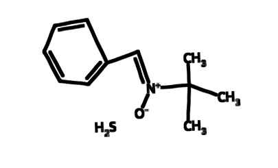 CC(C)(C)[N+]([O-])=Cc1ccccc1.S